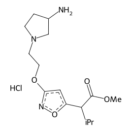 COC(=O)C(c1cc(OCCN2CCC(N)C2)no1)C(C)C.Cl